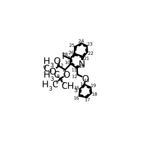 COC(=O)[C@@H](OC(C)(C)C)c1c(COc2ccccc2)nc2ccccc2c1I